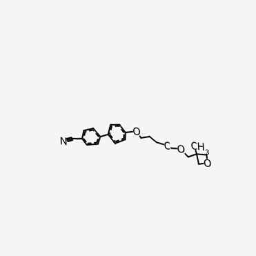 CC1(COCCCCCOc2ccc(-c3ccc(C#N)cc3)cc2)COC1